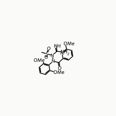 COc1cccc(C(=O)N(c2c(OC)cccc2OC)N(C(=N)N)S(C)(=O)=O)n1